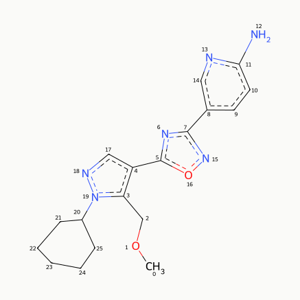 COCc1c(-c2nc(-c3ccc(N)nc3)no2)cnn1C1CCCCC1